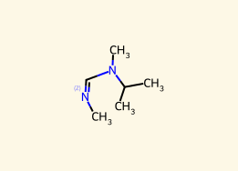 C/N=C\N(C)C(C)C